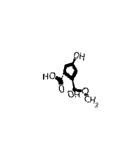 COC(O)[C@@H]1C[C@H](O)C[C@H]1C(=O)O